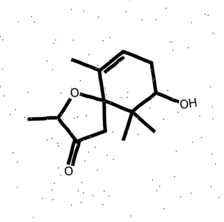 CC1=CCC(O)C(C)(C)C12CC(=O)C(C)O2